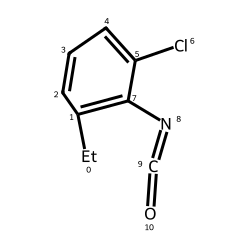 CCc1cccc(Cl)c1N=C=O